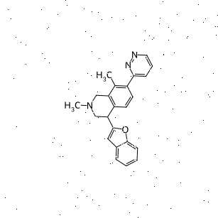 Cc1c(-c2cccnn2)ccc2c1CN(C)CC2c1cc2ccccc2o1